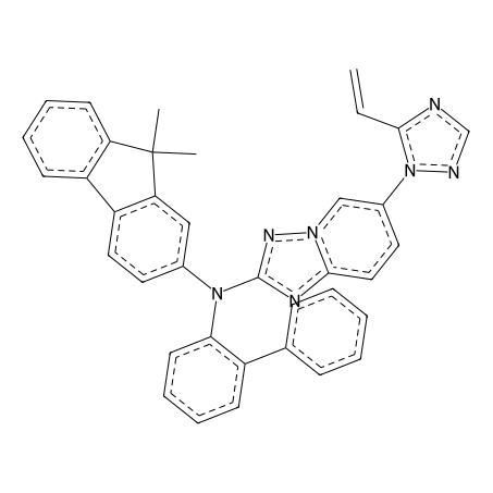 C=Cc1ncnn1-c1ccc2nc(N(c3ccc4c(c3)C(C)(C)c3ccccc3-4)c3ccccc3-c3ccccc3)nn2c1